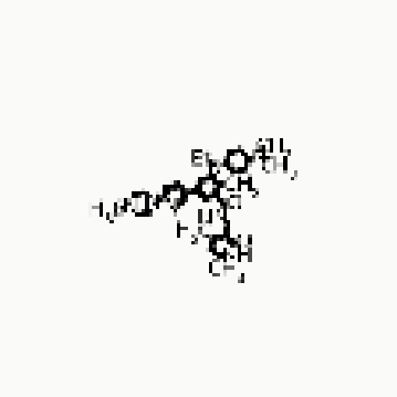 CCN(c1cc(-c2ccc(N3CCN(C)CC3)nc2)cc(C(=O)NCc2c(C)cc(C)[nH]c2=O)c1C)[C@H]1CC[C@H](N(C)C)CC1